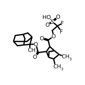 CC1C(C)C2CC1C(C(=O)OCC(F)(F)S(=O)(=O)O)C2C(=O)OC1(C)C2CC3CC(C2)CC1C3